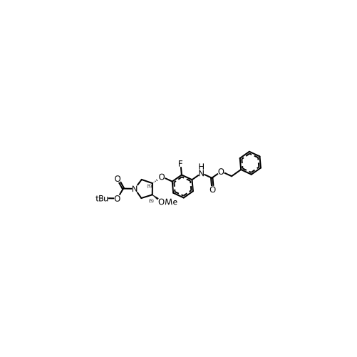 CO[C@H]1CN(C(=O)OC(C)(C)C)C[C@@H]1Oc1cccc(NC(=O)OCc2ccccc2)c1F